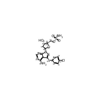 Nc1ncnc2c1c(Sc1ccc(Cl)cn1)nn2[C@H]1C[C@H](O)[C@@H](COS(N)(=O)=O)O1